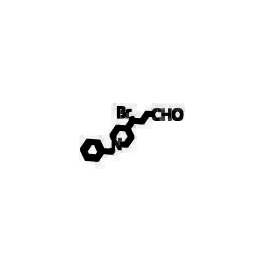 O=CCCC(Br)C1CCN(Cc2ccccc2)CC1